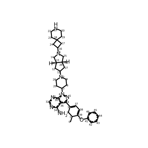 CC1CC(c2nn(C3CCN(C4C[C@@H]5CN(C6CC7(CCNCC7)C6)C[C@@H]5C4)CC3)c3ncnc(N)c23)=CC=C1Oc1ccccc1